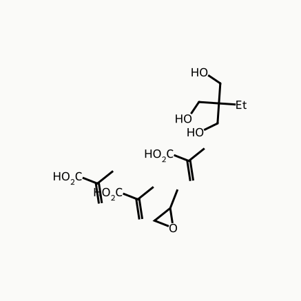 C=C(C)C(=O)O.C=C(C)C(=O)O.C=C(C)C(=O)O.CC1CO1.CCC(CO)(CO)CO